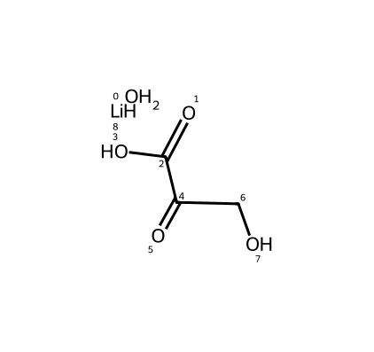 O.O=C(O)C(=O)CO.[LiH]